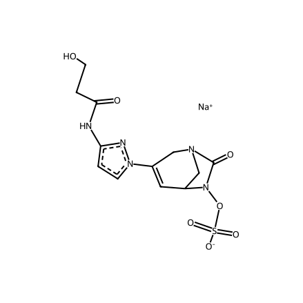 O=C(CCO)Nc1ccn(C2=CC3CN(C2)C(=O)N3OS(=O)(=O)[O-])n1.[Na+]